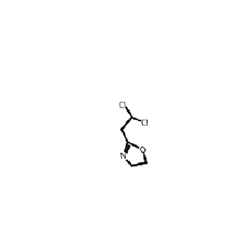 ClC(Cl)CC1=NCCO1